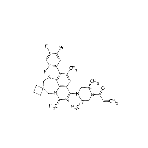 C=CC(=O)N1C[C@H](C)N(C2=NC(=C)N3CC4(CCC4)CSc4c(-c5cc(Br)c(F)cc5F)c(C(F)(F)F)cc2c43)C[C@H]1C